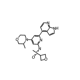 CC1COCCN1c1cc(N=S(C)(=O)C2COC2)nc(-c2ccnc3[nH]ccc23)c1